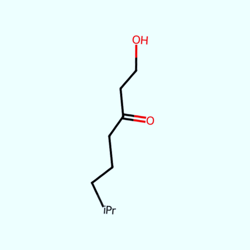 CC(C)CCCC(=O)CCO